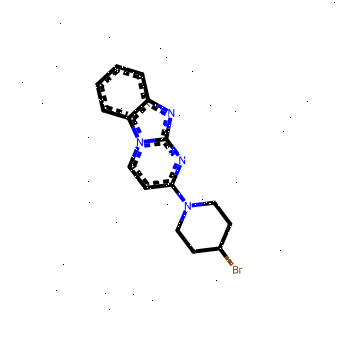 BrC1CCN(c2ccn3c(n2)nc2ccccc23)CC1